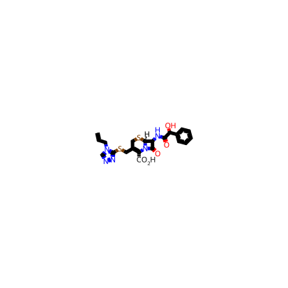 C=CCn1cnnc1SCC1=C(C(=O)O)N2C(=O)C(NC(=O)C(O)c3ccccc3)[C@@H]2SC1